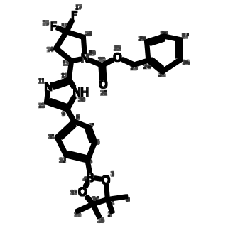 CC1(C)OB(c2ccc(-c3cnc(C4CC(F)(F)CN4C(=O)OCc4ccccc4)[nH]3)cc2)OC1(C)C